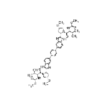 COC(=O)NC(C(=O)N1C[C@@H](OC)C[C@H]1c1nc2cc(-c3ccc(-c4ccc5[nH]c([C@@H]6C[C@H](OC)CN6C(=O)[C@@H](NC(=O)OC)C(C)C)nc5c4)cc3)ccc2[nH]1)C(C)C